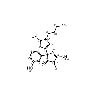 CC(=O)C1CC(C2(c3cccc(O)c3)N=C(N)N(C)C2=O)=CN1CCCF